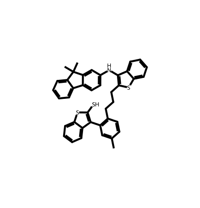 Cc1ccc(CCCc2sc3ccccc3c2Nc2ccc3c(c2)C(C)(C)c2ccccc2-3)c(-c2c(S)sc3ccccc23)c1